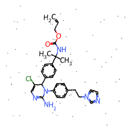 C=CCOC(=O)NC(C)(C)c1ccc(C2C(Cl)=CN=C(N)N2c2ccc(CCn3ccnc3)cc2)cc1